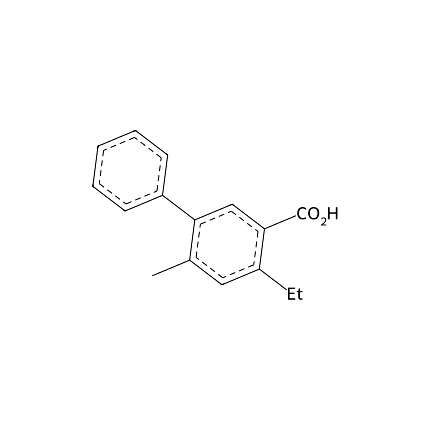 CCc1cc(C)c(-c2ccccc2)cc1C(=O)O